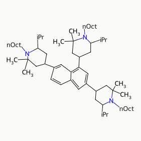 CCCCCCCCN1C(C(C)C)CC(c2cc(C3CC(C(C)C)N(CCCCCCCC)C(C)(C)C3)c3cc(C4CC(C(C)C)N(CCCCCCCC)C(C)(C)C4)ccc3c2)CC1(C)C